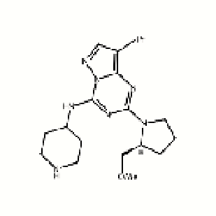 COC[C@@H]1CCCN1c1nc(NC2CCNCC2)n2ncc(C(C)C)c2n1